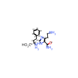 NCCc1nc[nH]c1C(N)=O.N[C@@H](CCc1ccccc1)C(=O)O